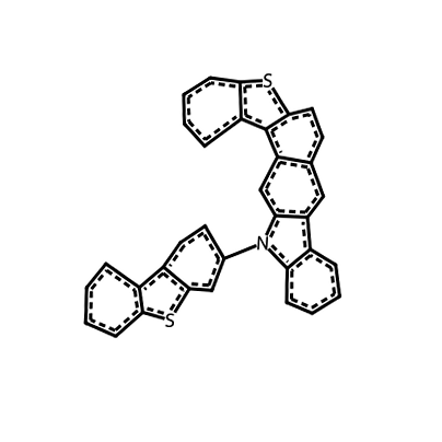 c1ccc2c(c1)sc1cc(-n3c4ccccc4c4cc5ccc6sc7ccccc7c6c5cc43)ccc12